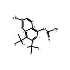 CC(C)(C)c1nc(NC(=O)O)c2ccc(N)cc2c1C(C)(C)C